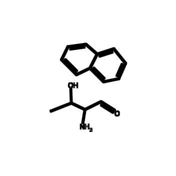 CC(O)C(N)C=O.c1ccc2ccccc2c1